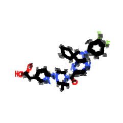 CC1(C)CN(c2ccc(CC(=O)O)cn2)CCN1C(=O)c1cnc2c(n1)C1(CCCC1)CN2c1ccc(F)c(F)c1